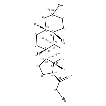 C[C@]1(O)CC[C@H]2[C@H](CC[C@@H]3[C@@H]2CC[C@]2(C)[C@@H](C(=O)CBr)CC[C@@H]32)C1